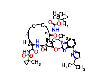 CC(C)c1ccn(-c2cccc3c2nc(O[C@@H]2C[C@H]4C(=O)N[C@]5(C(=O)NS(=O)(=O)C6(C)CC6)C[C@H]5/C=C\CCCCC[C@H](NC(=O)OC(C)(C)C)C(=O)N4C2)n3C(C)C)n1